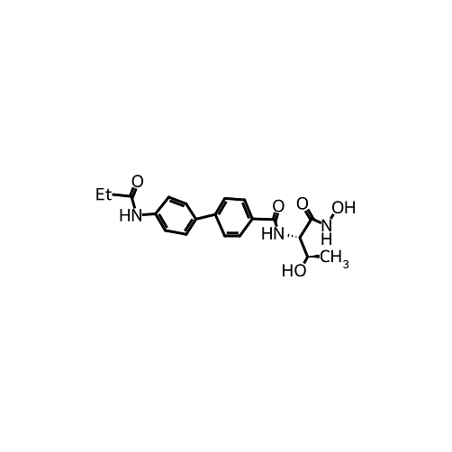 CCC(=O)Nc1ccc(-c2ccc(C(=O)N[C@H](C(=O)NO)[C@@H](C)O)cc2)cc1